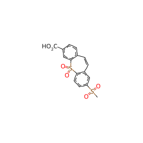 CS(=O)(=O)c1ccc2c(c1)C=Cc1ccc(C(=O)O)cc1S2(=O)=O